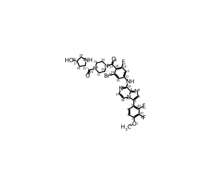 COc1ccc(-c2cnc3c(Nc4cc(F)c(C(=O)N5CCN(C(=O)[C@@H]6C[C@@H](O)CN6)CC5)c(Br)c4)nccn23)c(F)c1F